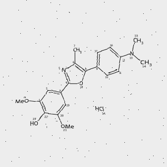 COc1cc(-c2nc(C)c(-c3ccc(N(C)C)cc3)o2)cc(OC)c1O.Cl